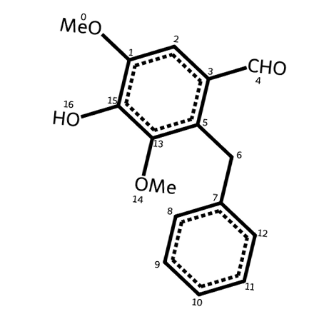 COc1cc(C=O)c(Cc2ccccc2)c(OC)c1O